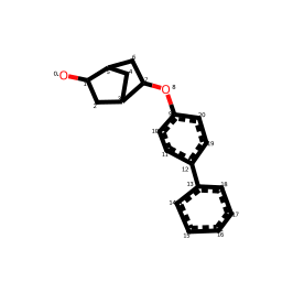 [O]C1CC2CC1CC2Oc1ccc(-c2cc[c]cc2)cc1